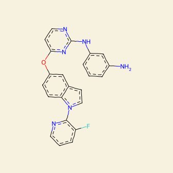 Nc1cccc(Nc2nccc(Oc3ccc4c(ccn4-c4ncccc4F)c3)n2)c1